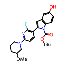 COC1CCCN(c2ccc(-c3cc4cc(O)ccc4n3C(=O)OC(C)(C)C)c(F)n2)C1